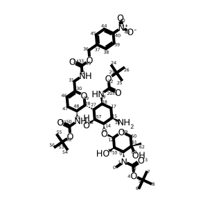 CN(C(=O)OC(C)(C)C)[C@@H]1[C@@H](O)[C@@H](O[C@H]2[C@H](N)C[C@H](NC(=O)OC(C)(C)C)C([C@H]3OC(CNC(=O)OCc4ccc([N+](=O)[O-])cc4)=CC[C@H]3NC(=O)OC(C)(C)C)[C@@H]2O)OC[C@]1(C)O